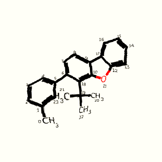 Cc1cccc(-c2ccc3c(oc4ccccc43)c2C(C)(C)C)c1